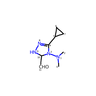 CN(C)N1C(C2CC2)=NNC1C=O